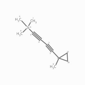 CC1(C#CC#C[Si](C)(C)C)CC1